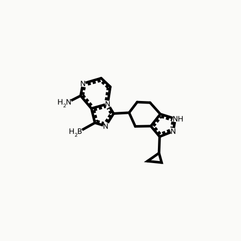 Bc1nc(C2CCc3[nH]nc(C4CC4)c3C2)n2ccnc(N)c12